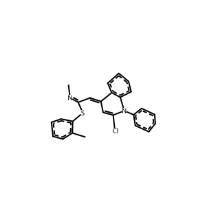 C/N=C(\C=C1/C=C(Cl)N(c2ccccc2)c2ccccc21)Sc1ccccc1C